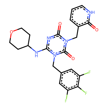 O=c1[nH]cccc1Cn1c(=O)nc(NC2CCOCC2)n(Cc2cc(F)c(F)c(F)c2)c1=O